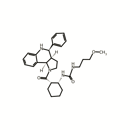 COCCCNC(=O)N[C@@H]1CCCC[C@@H]1C(=O)N1CC[C@@H]2[C@H](c3ccccc3)Nc3ccccc3[C@@H]21